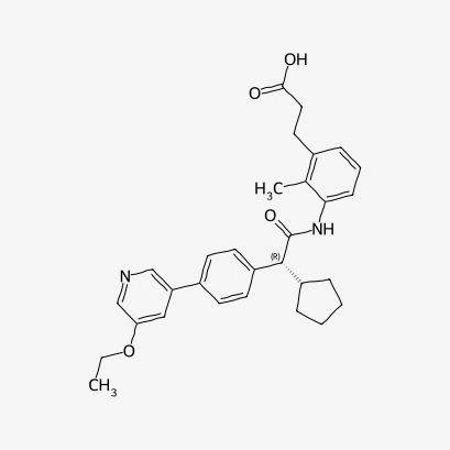 CCOc1cncc(-c2ccc([C@H](C(=O)Nc3cccc(CCC(=O)O)c3C)C3CCCC3)cc2)c1